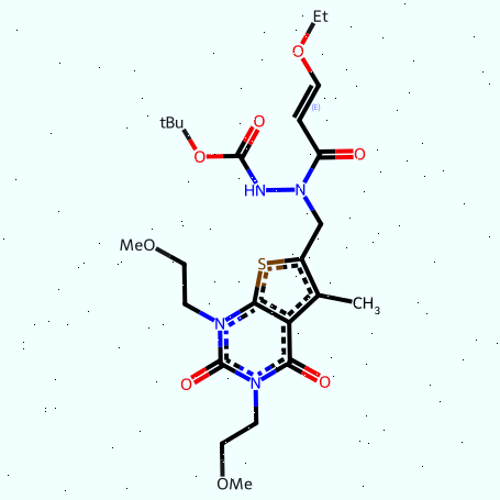 CCO/C=C/C(=O)N(Cc1sc2c(c1C)c(=O)n(CCOC)c(=O)n2CCOC)NC(=O)OC(C)(C)C